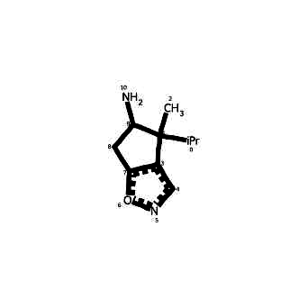 CC(C)C1(C)c2cnoc2CC1N